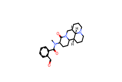 CN(C(=O)c1ccccc1C=O)C1CCC2[C@H]3CCCN4CCC[C@@H](CN2C1=O)[C@@H]34